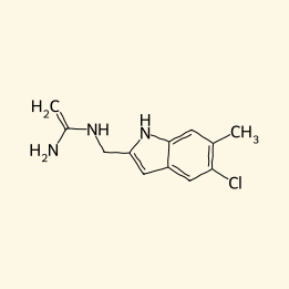 C=C(N)NCc1cc2cc(Cl)c(C)cc2[nH]1